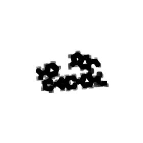 CCc1nc2c(cc1Oc1cc(N3CCC4(CC3)CC(N3CCC[C@H]3c3ccccc3C(C)C)C4)ccc1C(=O)NC)C(F)=CC2